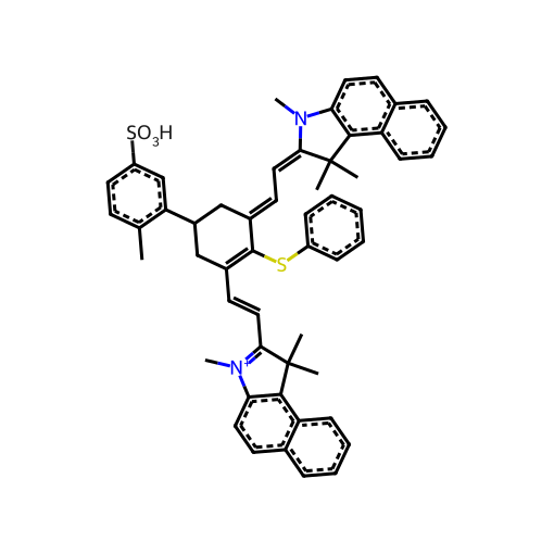 Cc1ccc(S(=O)(=O)O)cc1C1CC(/C=C/C2=[N+](C)c3ccc4ccccc4c3C2(C)C)=C(Sc2ccccc2)C(=C/C=C2/N(C)c3ccc4ccccc4c3C2(C)C)/C1